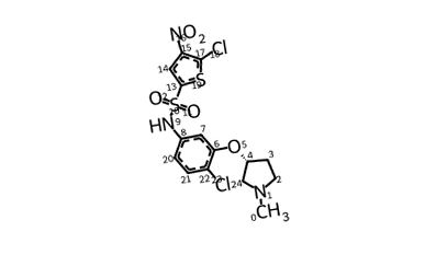 CN1CC[C@@H](Oc2cc(NS(=O)(=O)c3cc([N+](=O)[O-])c(Cl)s3)ccc2Cl)C1